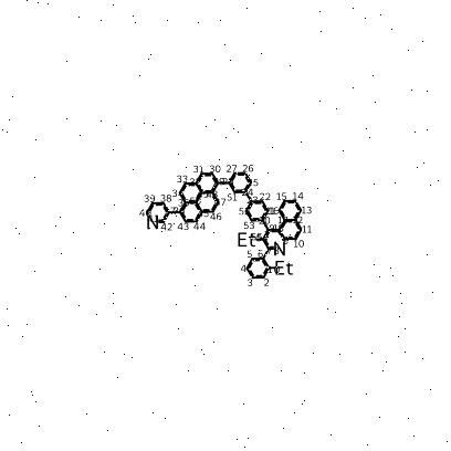 CCc1ccccc1-c1nc2ccc3ccccc3c2c(-c2ccc(-c3cccc(-c4ccc5ccc6c(-c7cccnc7)ccc7ccc4c5c76)c3)cc2)c1CC